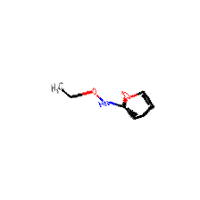 CCONc1ccco1